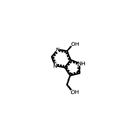 OCc1c[nH]c2c(O)ncnc12